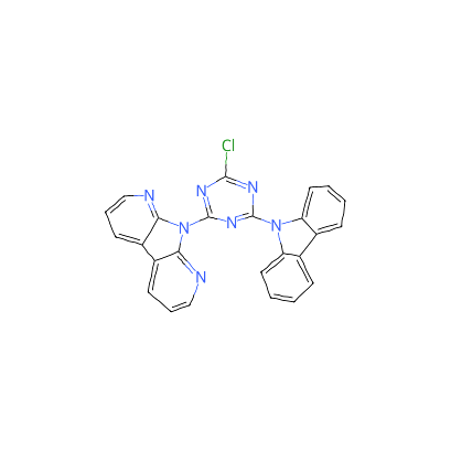 Clc1nc(-n2c3ccccc3c3ccccc32)nc(-n2c3ncccc3c3cccnc32)n1